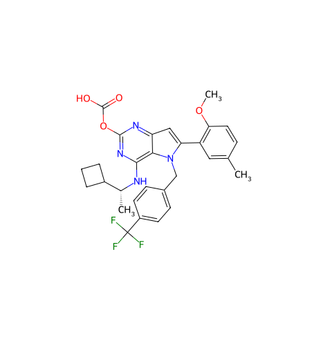 COc1ccc(C)cc1-c1cc2nc(OC(=O)O)nc(N[C@H](C)C3CCC3)c2n1Cc1ccc(C(F)(F)F)cc1